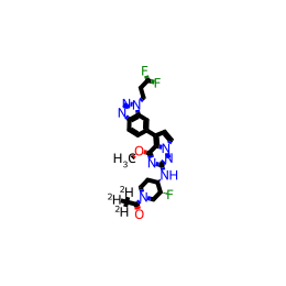 [2H]C([2H])([2H])C(=O)N1CC[C@H](Nc2nc(OC)c3c(-c4ccc5nnn(CCC(F)F)c5c4)ccn3n2)[C@H](F)C1